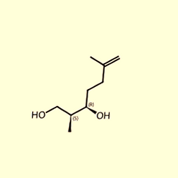 C=C(C)CC[C@@H](O)[C@@H](C)CO